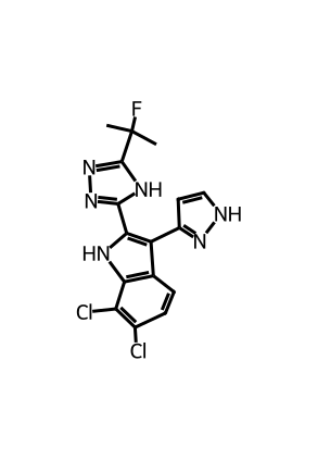 CC(C)(F)c1nnc(-c2[nH]c3c(Cl)c(Cl)ccc3c2-c2cc[nH]n2)[nH]1